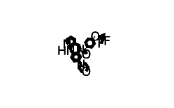 O=C([C@H]1CC[C@@H](OC2CC2(F)F)CC1)N1Cc2cccnc2Nc2ccc(N3CCOCC3)cc21